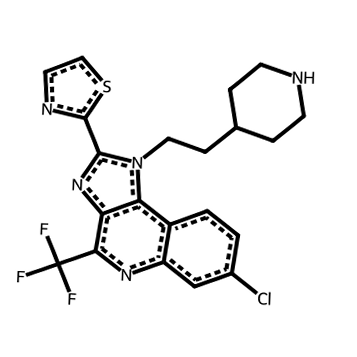 FC(F)(F)c1nc2cc(Cl)ccc2c2c1nc(-c1nccs1)n2CCC1CCNCC1